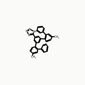 Cc1ccc(-c2cc(-c3nnn[nH]3)cc(-c3ccc(C)cc3-c3ccccc3)c2)c(-c2ccccc2)c1